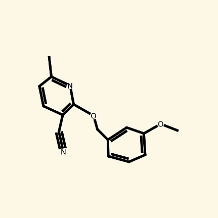 COc1cccc(COc2nc(C)ccc2C#N)c1